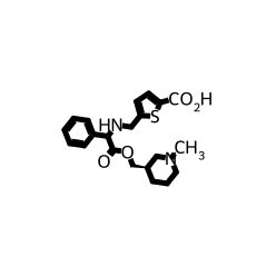 CN1CCC[C@@H](COC(=O)C(NCc2ccc(C(=O)O)s2)c2ccccc2)C1